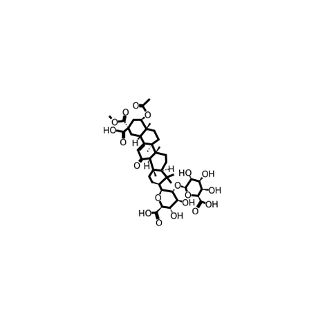 COC(=O)[C@]1(C(=O)O)C[C@@H](OC(C)=O)[C@]2(C)CC[C@]3(C)C(=CC(=O)[C@@H]4[C@@]5(C)CC[C@H]([C@@H]6O[C@H](C(=O)O)[C@@H](O)[C@H](O)[C@H]6O[C@@H]6O[C@H](C(=O)O)[C@H](O)[C@H](O)[C@H]6O)C(C)(C)[C@@H]5CC[C@]43C)[C@@H]2C1